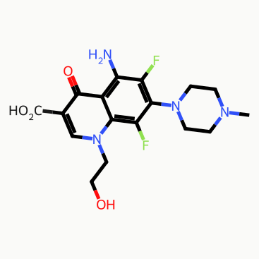 CN1CCN(c2c(F)c(N)c3c(=O)c(C(=O)O)cn(CCO)c3c2F)CC1